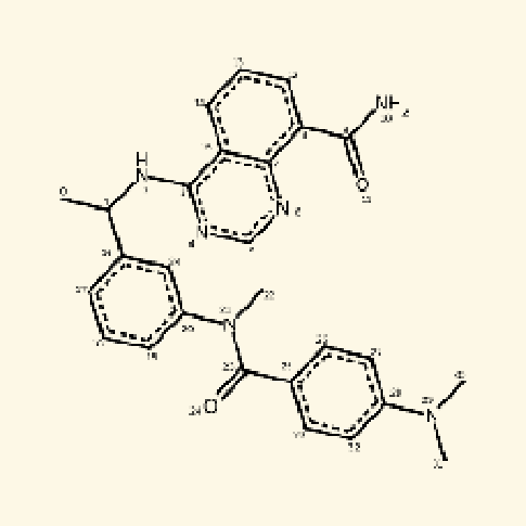 CC(Nc1ncnc2c(C(N)=O)cccc12)c1cccc(N(C)C(=O)c2ccc(N(C)C)cc2)c1